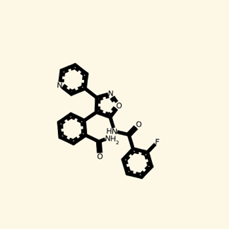 NC(=O)c1ccccc1-c1c(-c2cccnc2)noc1NC(=O)c1ccccc1F